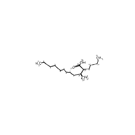 CCCCCCCCCC(C)C(CCCC)C(=O)O